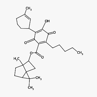 CCCCCC1=C(C(=O)OC2CC34C(CCC23C)C4(C)C)C(=O)C(C2C=C(C)CCC2)=C(O)C1=O